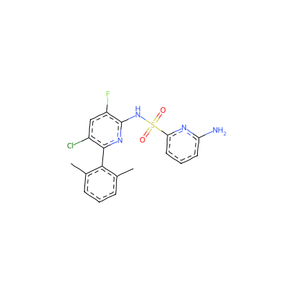 Cc1cccc(C)c1-c1nc(NS(=O)(=O)c2cccc(N)n2)c(F)cc1Cl